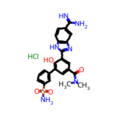 CN(C)C(=O)c1cc(-c2cccc(S(N)(=O)=O)c2)c(O)c(-c2nc3cc(C(=N)N)ccc3[nH]2)c1.Cl